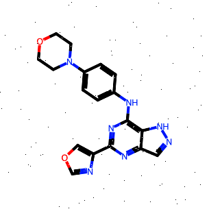 c1nc(-c2nc(Nc3ccc(N4CCOCC4)cc3)c3[nH]ncc3n2)co1